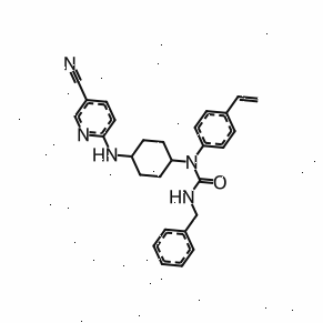 C=Cc1ccc(N(C(=O)NCc2ccccc2)C2CCC(Nc3ccc(C#N)cn3)CC2)cc1